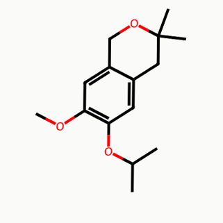 COc1cc2c(cc1OC(C)C)CC(C)(C)OC2